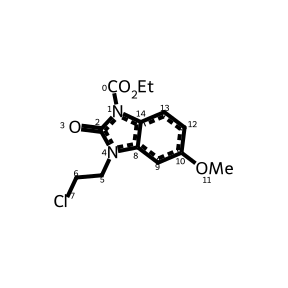 CCOC(=O)n1c(=O)n(CCCl)c2cc(OC)ccc21